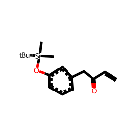 C=CC(=O)Cc1cccc(O[Si](C)(C)C(C)(C)C)c1